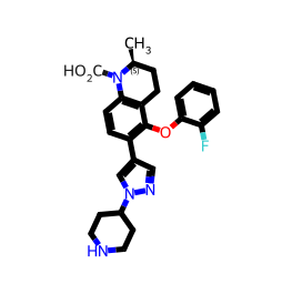 C[C@H]1CCc2c(ccc(-c3cnn(C4CCNCC4)c3)c2Oc2ccccc2F)N1C(=O)O